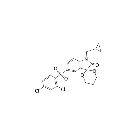 O=C1N(CC2CC2)c2ccc(S(=O)(=O)c3ccc(Cl)cc3Cl)cc2C12OCCCO2